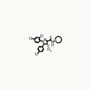 CC1C(C(=S)NN2CCCCCC2)=NN(c2ccc(Cl)cc2Cl)C1c1ccc(Cl)cc1